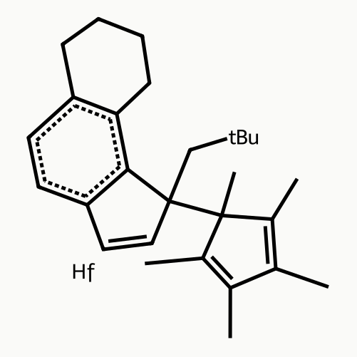 CC1=C(C)C(C)(C2(CC(C)(C)C)C=Cc3ccc4c(c32)CCCC4)C(C)=C1C.[Hf]